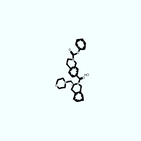 Cl.O=C(Oc1ccccc1)N1CCc2ccc(C(=O)N3Cc4ccccc4C[C@H]3CN3CCOCC3)cc2C1